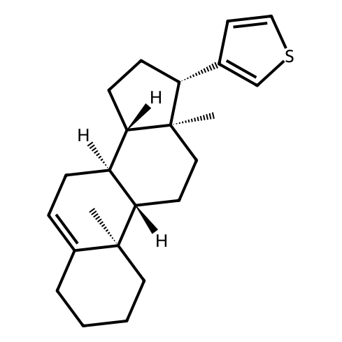 C[C@]12CC[C@H]3[C@@H](CC=C4CCCC[C@@]43C)[C@@H]1CC[C@@H]2c1ccsc1